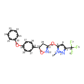 Cn1nc(C(F)(F)F)cc1OC1=NO[C@@H](c2ccc(Oc3ccccc3)cc2)C1